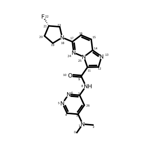 CN(C)c1cnnc(NC(=O)c2cnc3ccc(N4CC[C@H](F)C4)nn23)c1